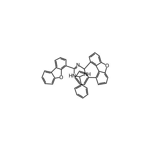 c1ccc(-c2cccc3oc4cccc(C5N=C(c6cccc7c6oc6ccccc67)NC(c6ccccc6)N5)c4c23)cc1